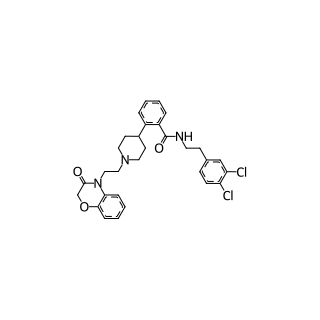 O=C(NCCc1ccc(Cl)c(Cl)c1)c1ccccc1C1CCN(CCN2C(=O)COc3ccccc32)CC1